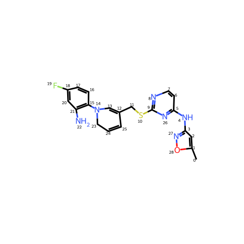 Cc1cc(Nc2ccnc(SCC3=CN(c4ccc(F)cc4N)CC=C3)n2)no1